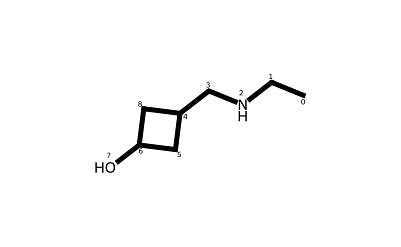 CCNCC1CC(O)C1